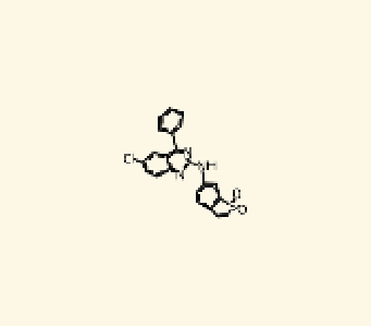 O=S1(=O)C=Cc2ccc(Nc3nc(-c4ccccc4)c4cc(Cl)ccc4n3)cc21